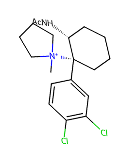 CC(=O)N[C@@H]1CCCC[C@]1(c1ccc(Cl)c(Cl)c1)[N+]1(C)CCCC1